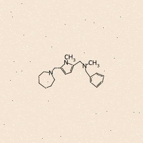 CN(Cc1ccccc1)Cc1ccc(CN2CCCCCC2)n1C